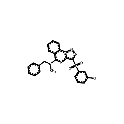 CN(Cc1ccccc1)c1nc2c(S(=O)(=O)c3cccc(Cl)c3)nnn2c2ccccc12